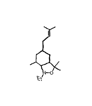 CCN1OC(C)(C)C2CC(CC=C(C)C)CC(C)C21